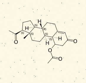 CC(=O)OC1CC(=O)C=C2CC[C@@H]3[C@H](CC[C@]4(C)[C@@H](C(C)=O)CC[C@@H]34)[C@@H]21